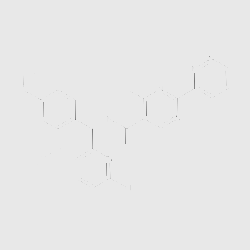 COc1ccc([C@H](NC(=O)c2cnc(-c3cccnn3)nc2O)c2cccc(C)n2)c(OC)c1